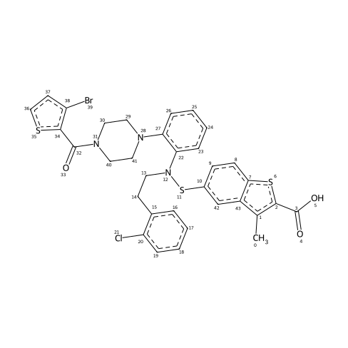 Cc1c(C(=O)O)sc2ccc(SN(CCc3ccccc3Cl)c3ccccc3N3CCN(C(=O)c4sccc4Br)CC3)cc12